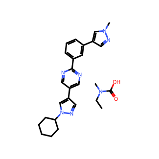 CCN(C)C(=O)O.Cn1cc(-c2cccc(-c3ncc(-c4cnn(C5CCCCC5)c4)cn3)c2)cn1